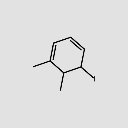 CC1=CC=CC(I)C1C